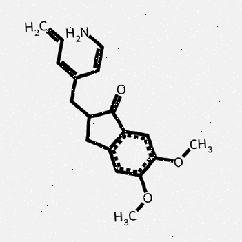 C=C/C=C(\C=C/N)CC1Cc2cc(OC)c(OC)cc2C1=O